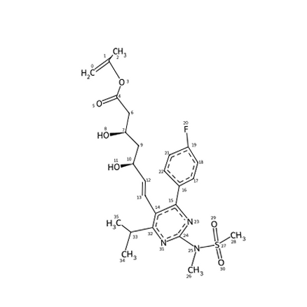 C=C(C)OC(=O)C[C@H](O)C[C@H](O)/C=C/c1c(-c2ccc(F)cc2)nc(N(C)S(C)(=O)=O)nc1C(C)C